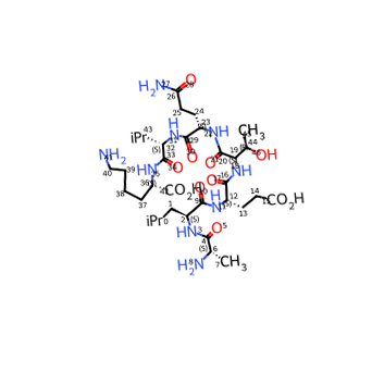 CC(C)C[C@H](NC(=O)[C@H](C)N)C(=O)N[C@@H](CCC(=O)O)C(=O)N[C@H](C(=O)N[C@@H](CCC(N)=O)C(=O)N[C@H](C(=O)N[C@@H](CCCCN)C(=O)O)C(C)C)[C@@H](C)O